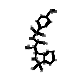 COc1ccc(S(=O)(=O)NC(=O)C(C#N)=C2NS(=O)(=O)c3ccccc32)cc1